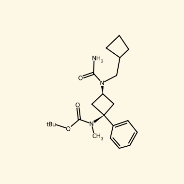 CN(C(=O)OC(C)(C)C)[C@]1(c2ccccc2)C[C@H](N(CC2CCC2)C(N)=O)C1